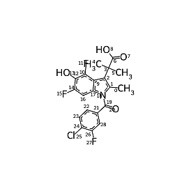 Cc1c(C(C)(C)C(=O)O)c2c(F)c(O)c(F)cc2n1C(=O)c1ccc(Cl)c(F)c1